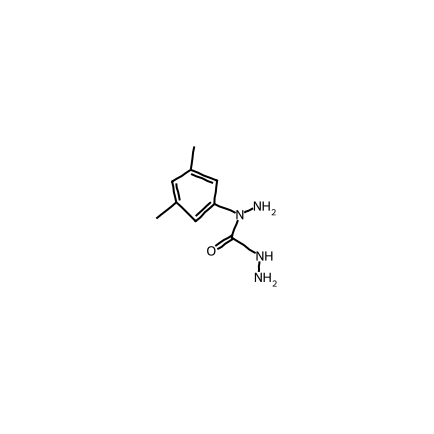 Cc1cc(C)cc(N(N)C(=O)NN)c1